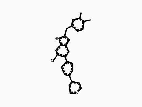 Cc1ccc(Cc2cc3cc(-c4ccc(-c5ccncc5)cc4)c(Cl)cc3[nH]2)cc1C